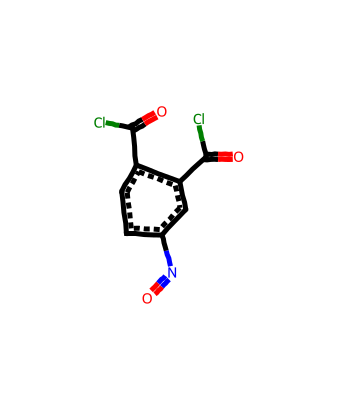 O=Nc1ccc(C(=O)Cl)c(C(=O)Cl)c1